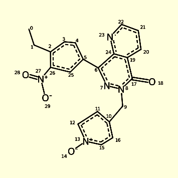 CCc1ccc(-c2nn(Cc3cc[n+]([O-])cc3)c(=O)c3cccnc23)cc1[N+](=O)[O-]